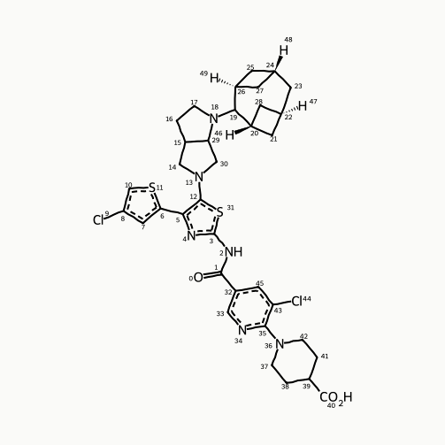 O=C(Nc1nc(-c2cc(Cl)cs2)c(N2CC3CCN(C4[C@H]5C[C@H](C[C@H]6C[C@H]4C6)C5)C3C2)s1)c1cnc(N2CCC(C(=O)O)CC2)c(Cl)c1